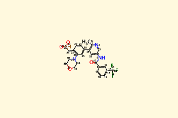 Cc1ncc(NC(=O)c2cccc(C(F)(F)F)c2)cc1-c1ccc(C[SH](=O)=O)c(N2CCOCC2)c1